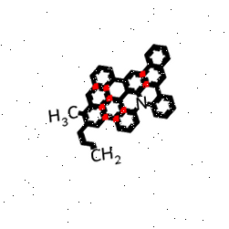 C=C/C=C\c1cc(-c2cccc(N(c3ccccc3-c3ccc4ccccc4c3)c3cccc(-c4ccccc4)c3-c3ccccc3)c2)c2ccccc2c1C